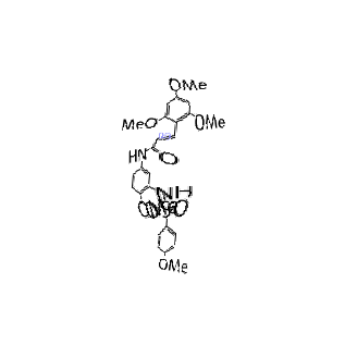 COc1ccc(S(=O)(=O)Nc2cc(NC(=O)/C=C/c3c(OC)cc(OC)cc3OC)ccc2OC)cc1